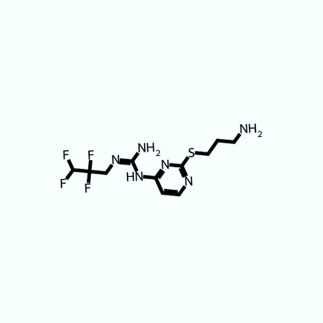 NCCCSc1nccc(N/C(N)=N\CC(F)(F)C(F)F)n1